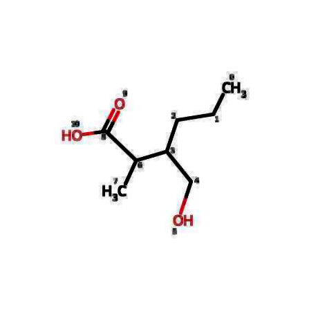 CCCC(CO)C(C)C(=O)O